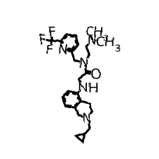 CN(C)CCN(Cc1cccc(C(F)(F)F)n1)C(=O)CNc1cccc2c1CCN(CC1CC1)C2